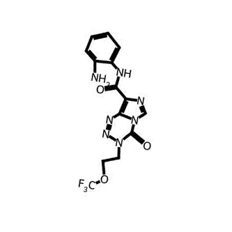 Nc1ccccc1NC(=O)c1ncn2c(=O)n(CCOC(F)(F)F)nnc12